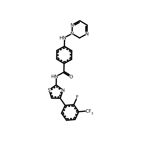 O=C(Nc1nc(-c2cccc(C(F)(F)F)c2F)cs1)c1ccc(NN2CN=CC=N2)cc1